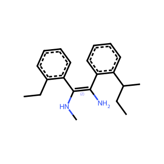 CCc1ccccc1/C(NC)=C(/N)c1ccccc1C(C)CC